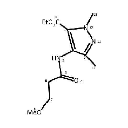 CCOC(=O)c1c(NC(=O)CCOC)c(C)nn1C